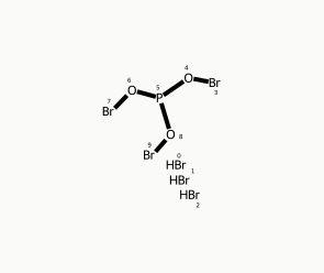 Br.Br.Br.BrOP(OBr)OBr